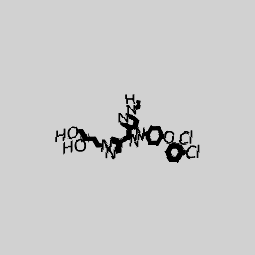 CCNc1cc2c(cn1)c(-c1cnn(CC[C@@H](O)CO)c1)nn2C1CCC(Oc2cccc(Cl)c2Cl)CC1